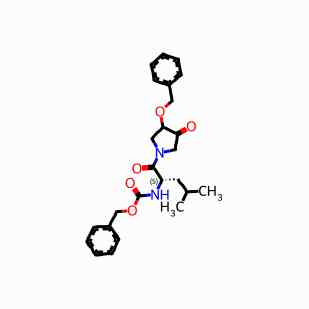 CC(C)C[C@H](NC(=O)OCc1ccccc1)C(=O)N1CC(=O)C(OCc2ccccc2)C1